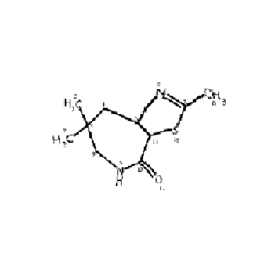 CC1=NC2CC(C)(C)CNC(=O)C2S1